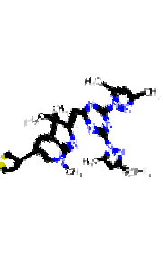 Cc1cc(C)n(-c2nc(/C=C3\N=C4C(=CC(c5ccsc5)=CN4C)C3(C)C)nc(-n3nc(C)cc3C)n2)n1